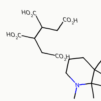 CN1CCCC(C)(C)C1(C)C.O=C(O)CC(C(=O)O)C(CC(=O)O)C(=O)O